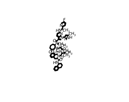 CN[C@@H](C)C(=O)N[C@H](C(=O)N1Cc2cc(OC3CCCC(N(C)C(=O)c4cn(-c5cc(C)[nH]n5)c5nc(N[C@@H](C)c6ccc(F)cn6)ccc45)CC3)ccc2C[C@H]1C(=O)N[C@@H]1CCCc2ccccc21)C(C)(C)C